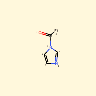 CCC(=O)n1ccnc1